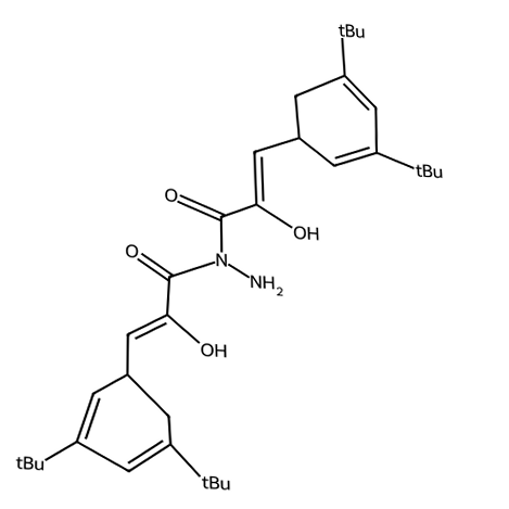 CC(C)(C)C1=CC(C=C(O)C(=O)N(N)C(=O)C(O)=CC2C=C(C(C)(C)C)C=C(C(C)(C)C)C2)CC(C(C)(C)C)=C1